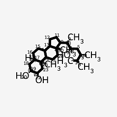 CC(C)[C@H](C)C[C@H](O)[C@H](C)C1CCC2C3CC[C@@H]4C[C@@H](O)[C@@H](O)C[C@]4(C)C3CCC21C